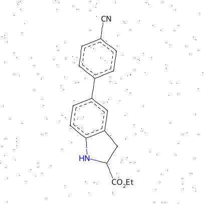 CCOC(=O)C1Cc2cc(-c3ccc(C#N)cc3)ccc2N1